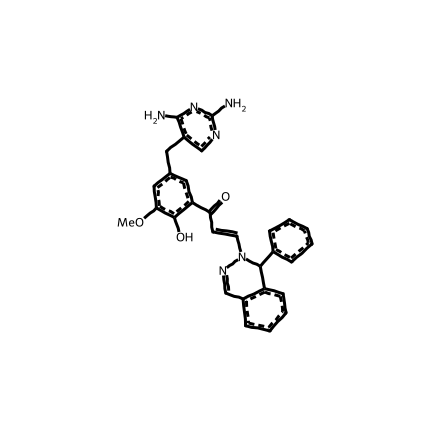 COc1cc(Cc2cnc(N)nc2N)cc(C(=O)/C=C/N2N=Cc3ccccc3C2c2ccccc2)c1O